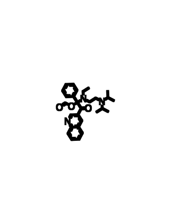 CCN(CCN(C(C)C)C(C)C)C(OC=O)(C(=O)c1cnc2ccccc2c1)c1ccccc1